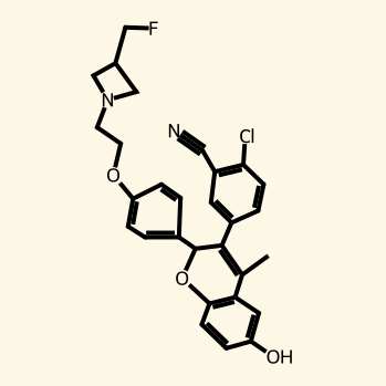 CC1=C(c2ccc(Cl)c(C#N)c2)C(c2ccc(OCCN3CC(CF)C3)cc2)Oc2ccc(O)cc21